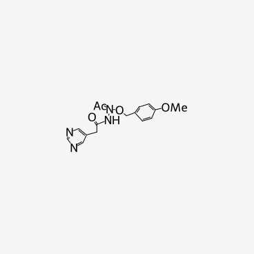 COc1ccc(CON(NC(=O)Cc2cncnc2)C(C)=O)cc1